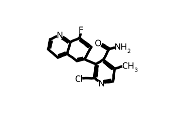 Cc1cnc(Cl)c(-c2cc(F)c3ncccc3c2)c1C(N)=O